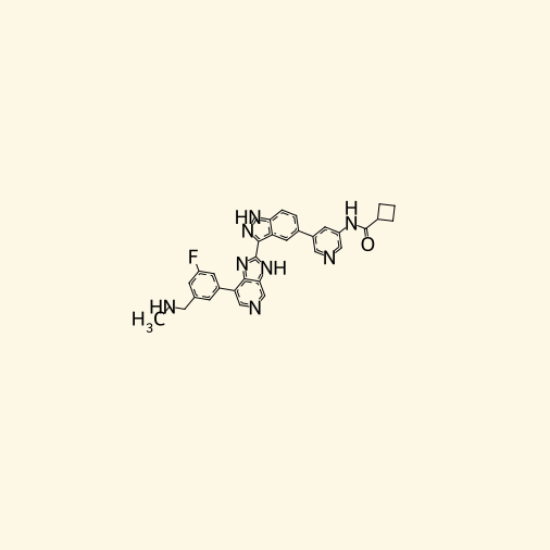 CNCc1cc(F)cc(-c2cncc3[nH]c(-c4n[nH]c5ccc(-c6cncc(NC(=O)C7CCC7)c6)cc45)nc23)c1